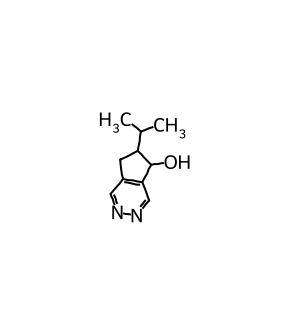 CC(C)C1Cc2cnncc2C1O